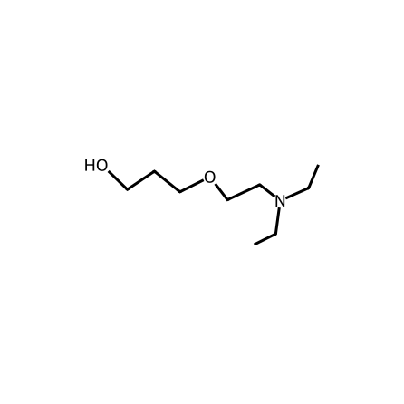 CCN(CC)CCOCCCO